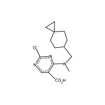 CN(CC1CCC2(CC1)CC2)c1nc(Cl)ncc1C(=O)O